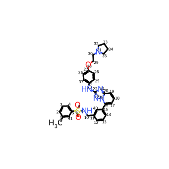 Cc1cccc(S(=O)(=O)NCc2cccc(-c3cccc4nc(Nc5ccc(OCCN6CCCC6)cc5)nn34)c2)c1